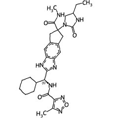 CCC1CN(C2(C(=O)NC)Cc3cc4nc([C@@H](NC(=O)c5nonc5C)C5CCCCC5)[nH]c4cc3C2)C(=O)N1